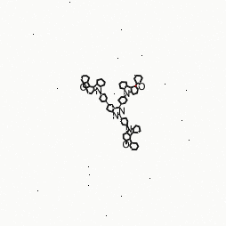 c1ccc2c(c1)oc1ccc3c(c4ccccc4n3-c3ccc(-c4ccc5nc(-c6ccc(-n7c8ccccc8c8c9c(ccc87)oc7ccccc79)cc6)nc(-c6ccc(-n7c8ccccc8c8c9c(ccc87)oc7ccccc79)cc6)c5c4)cc3)c12